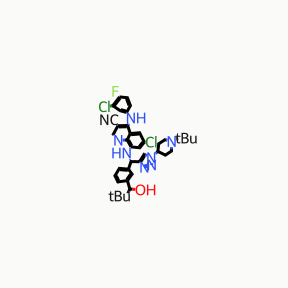 CC(C)(C)C(O)c1cccc([C@H](Nc2cc(Cl)cc3c(Nc4ccc(F)c(Cl)c4)c(C#N)cnc23)c2cn(C3CCN(C(C)(C)C)CC3)nn2)c1